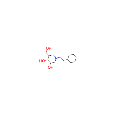 OCC1CN(CCC2CCCCC2)CC(O)C1O